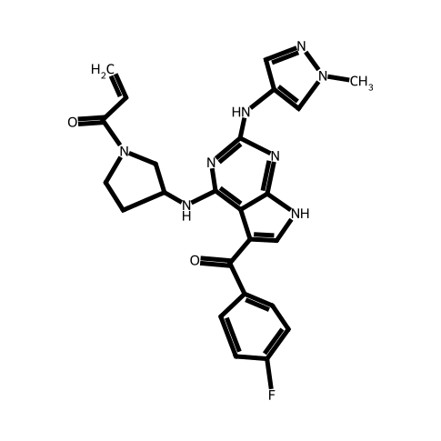 C=CC(=O)N1CCC(Nc2nc(Nc3cnn(C)c3)nc3[nH]cc(C(=O)c4ccc(F)cc4)c23)C1